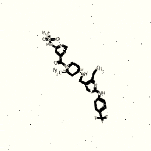 CCc1nc(Nc2ccc(C(F)(F)F)cc2)ncc1CN[C@H]1CCN(C(=O)c2ccnc(NS(C)(=O)=O)c2)[C@H](C)C1